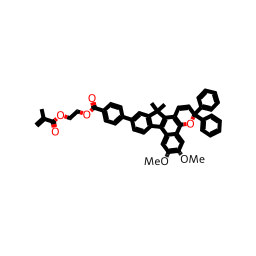 C=C(C)C(=O)OCCOC(=O)c1ccc(-c2ccc3c(c2)C(C)(C)c2c4c(c5cc(OC)c(OC)cc5c2-3)OC(c2ccccc2)(c2ccccc2)C=C4)cc1